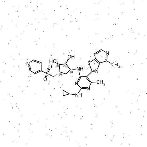 Cc1nc(NC2CC2)nc(N[C@@H]2C[C@H](CS(=O)(=O)c3ccncc3)[C@@H](O)[C@H]2O)c1-c1nc2c(C)nccc2s1